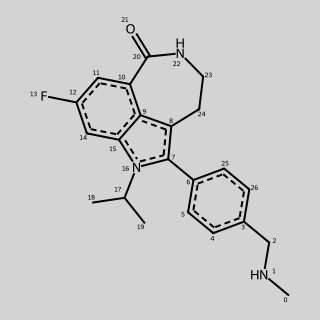 CNCc1ccc(-c2c3c4c(cc(F)cc4n2C(C)C)C(=O)NCC3)cc1